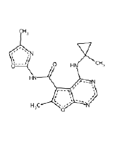 Cc1coc(NC(=O)c2c(C)oc3ncnc(NC4(C)CC4)c23)n1